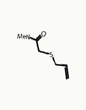 C=CCSCC(=O)NC